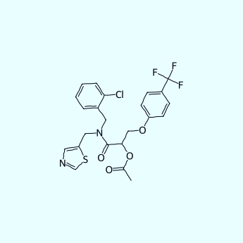 CC(=O)OC(COc1ccc(C(F)(F)F)cc1)C(=O)N(Cc1cncs1)Cc1ccccc1Cl